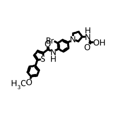 COc1ccc(-c2ccc(C(=O)Nc3ccc(N4CCC(NC(=O)O)C4)cc3Br)s2)cc1